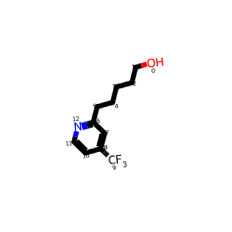 OCCCCCc1cc(C(F)(F)F)ccn1